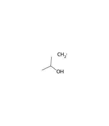 CC(C)O.[CH2]